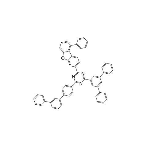 c1ccc(-c2cccc(-c3ccc(-c4nc(-c5cc(-c6ccccc6)cc(-c6ccccc6)c5)nc(-c5ccc6c(c5)oc5cccc(-c7ccccc7)c56)n4)cc3)c2)cc1